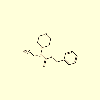 O=C(O)C[C@@H](C(=O)OCc1ccccc1)N1CCOCC1